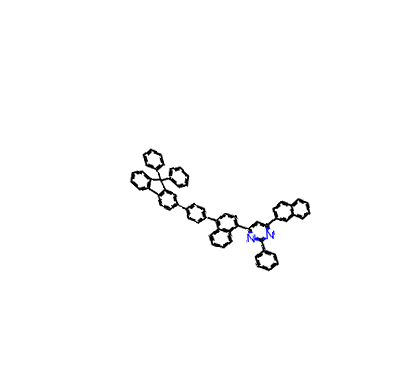 c1ccc(-c2nc(-c3ccc4ccccc4c3)cc(-c3ccc(-c4ccc(-c5ccc6c(c5)C(c5ccccc5)(c5ccccc5)c5ccccc5-6)cc4)c4ccccc34)n2)cc1